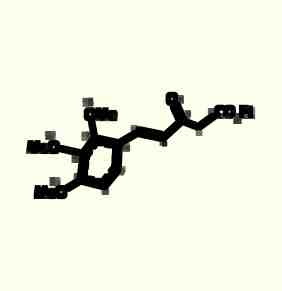 CCOC(=O)CC(=O)C=Cc1ccc(OC)c(OC)c1OC